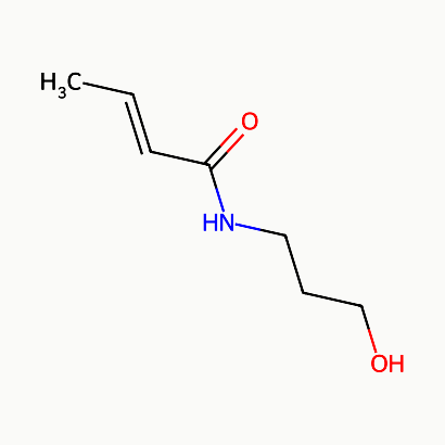 CC=CC(=O)NCCCO